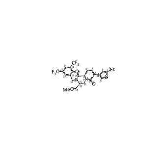 CCc1cn(-c2ccc3n(c2=O)C[C@@H](COC)N(Cc2cc(C(F)(F)F)cc(C(F)(F)F)c2)C3=O)cn1